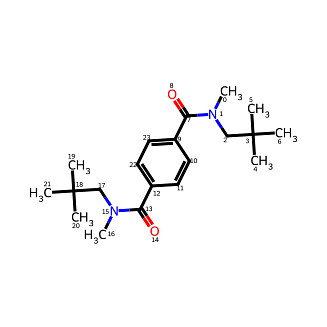 CN(CC(C)(C)C)C(=O)c1ccc(C(=O)N(C)CC(C)(C)C)cc1